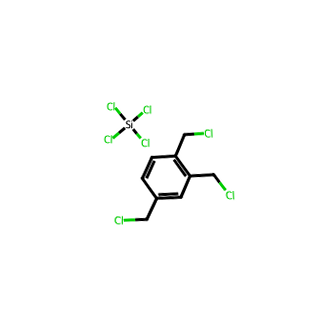 ClCc1ccc(CCl)c(CCl)c1.Cl[Si](Cl)(Cl)Cl